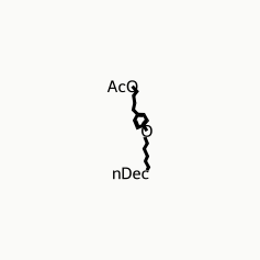 CCCCCCCCCCCCCCCCOc1ccc(CCCCOC(C)=O)cc1